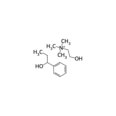 CCC(O)c1ccccc1.C[N+](C)(C)CCO